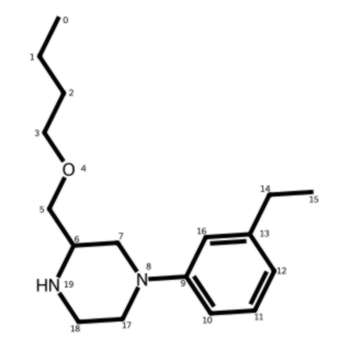 CCCCOCC1CN(c2cccc(CC)c2)CCN1